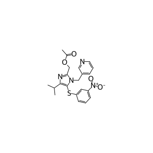 CC(=O)OCc1nc(C(C)C)c(Sc2cccc([N+](=O)[O-])c2)n1Cc1cccnc1